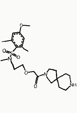 COc1cc(C)c(S(=O)(=O)N(C)CCOCC(=O)N2CCC3(CCNCC3)C2)c(C)c1